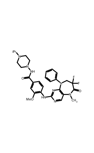 COc1cc(C(=O)NN2CCN(C(C)C)CC2)ccc1Nc1ncc2c(n1)N(c1ccccc1)CC(F)(F)C(=O)N2C